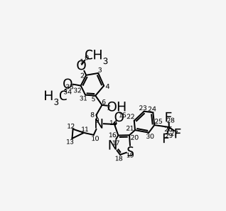 COc1ccc(C(O)CN(CC2CC2)C(=O)c2ncsc2-c2cccc(C(F)(F)F)c2)cc1OC